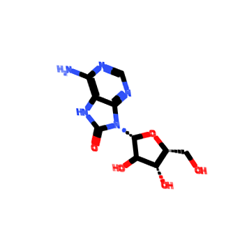 Nc1ncnc2c1[nH]c(=O)n2[C@@H]1O[C@H](CO)[C@H](O)C1O